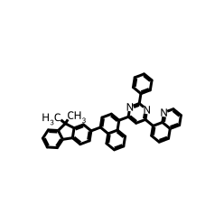 CC1(C)c2ccccc2-c2ccc(-c3ccc(-c4cc(-c5cccc6cccnc56)nc(-c5ccccc5)n4)c4ccccc34)cc21